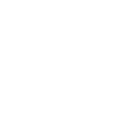 O=C/C=C/c1ccc(Sc2ccc(F)cc2)cc1C(F)(F)F